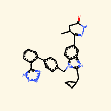 CC1CC(=O)NN=C1c1ccc2c(c1)nc(CC1CC1)n2Cc1ccc(-c2ccccc2-c2nnn[nH]2)cc1